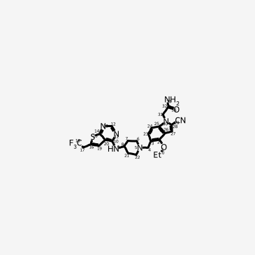 CCOc1c(CN2CCC(Nc3ncnc4sc(CC(F)(F)F)cc34)CC2)ccc2c1cc(C#N)n2CC(N)=O